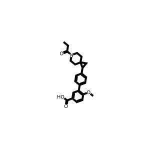 CCC(=O)N1CCC2(CC1)CC2c1ccc(-c2cc(C(=O)O)ccc2OC)cc1